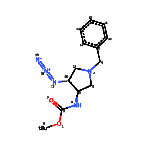 CC(C)(C)OC(=O)N[C@@H]1CN(Cc2ccccc2)C[C@H]1N=[N+]=[N-]